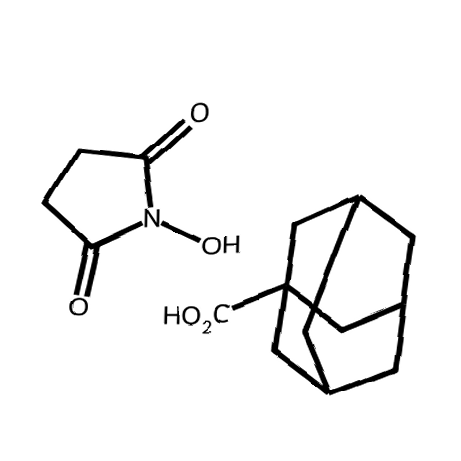 O=C(O)C12CC3CC(CC(C3)C1)C2.O=C1CCC(=O)N1O